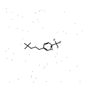 CC(C)(C)CCCc1ccc(C(F)(F)F)nc1